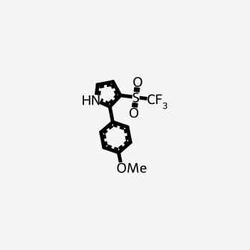 COc1ccc(-c2[nH]ccc2S(=O)(=O)C(F)(F)F)cc1